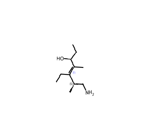 CC/C(=C(/C)C(O)CC)[C@H](C)CN